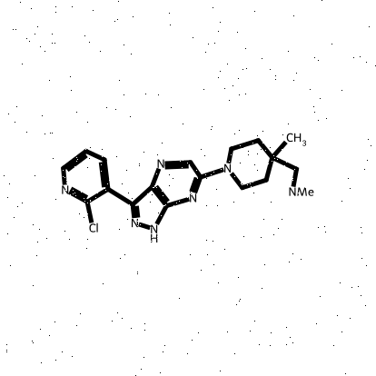 CNCC1(C)CCN(c2cnc3c(-c4cccnc4Cl)n[nH]c3n2)CC1